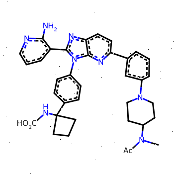 CC(=O)N(C)C1CCN(c2cccc(-c3ccc4nc(-c5cccnc5N)n(-c5ccc(C6(NC(=O)O)CCC6)cc5)c4n3)c2)CC1